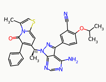 Cc1csc2cc([C@H](C)n3nc(-c4ccc(OC(C)C)c(C#N)c4)c4c(N)ncnc43)c(-c3ccccc3)c(=O)n12